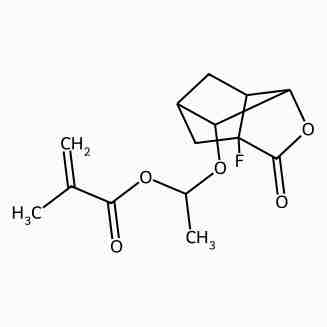 C=C(C)C(=O)OC(C)OC1C2CC3C1OC(=O)C3(F)C2